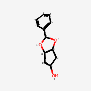 OC1CC2OC(c3ccccc3)OC2C1